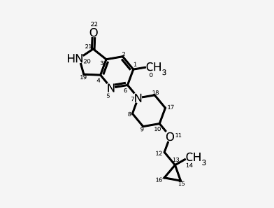 Cc1cc2c(nc1N1CCC(OCC3(C)CC3)CC1)CNC2=O